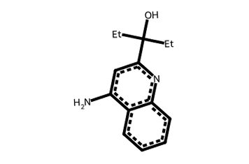 CCC(O)(CC)c1cc(N)c2ccccc2n1